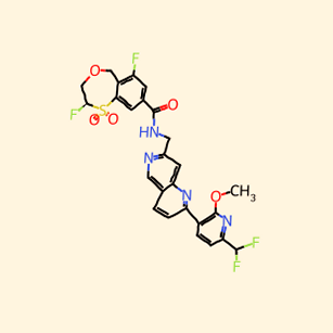 COc1nc(C(F)F)ccc1-c1ccc2cnc(CNC(=O)c3cc(F)c4c(c3)S(=O)(=O)[C@@H](F)COC4)cc2n1